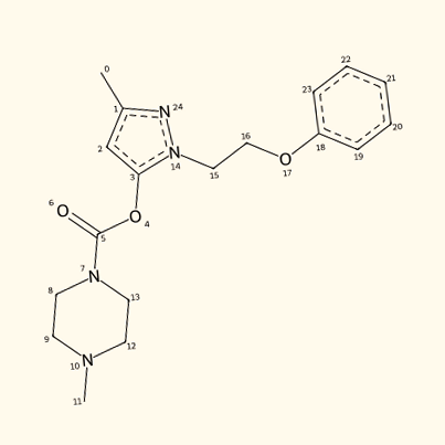 Cc1cc(OC(=O)N2CCN(C)CC2)n(CCOc2ccccc2)n1